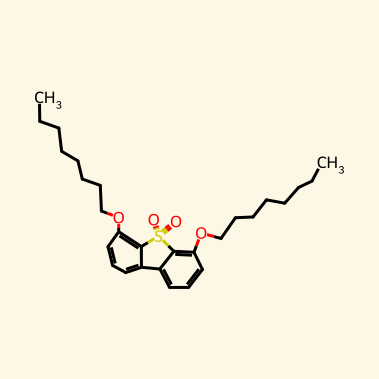 CCCCCCCCOc1cccc2c1S(=O)(=O)c1c(OCCCCCCCC)cccc1-2